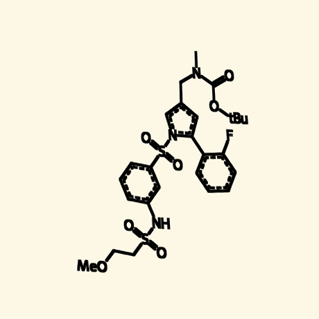 COCCS(=O)(=O)Nc1cccc(S(=O)(=O)n2cc(CN(C)C(=O)OC(C)(C)C)cc2-c2ccccc2F)c1